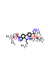 CCCC(=N)c1c(-c2ccc(C(C)(CN)C(=O)OC(C)(C)C)cc2)ccc2c1cnn2C(=O)OC(C)(C)C